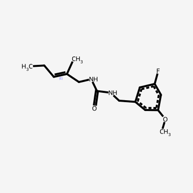 CC/C=C(\C)CNC(=O)NCc1cc(F)cc(OC)c1